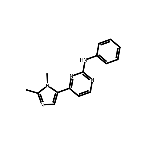 Cc1ncc(-c2ccnc(Nc3ccccc3)n2)n1C